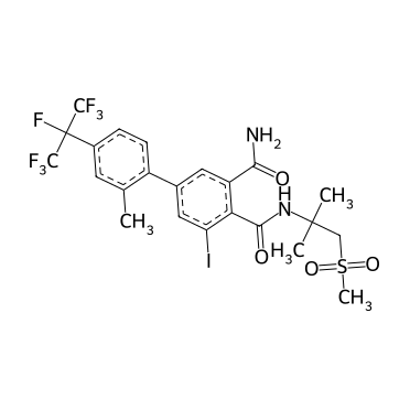 Cc1cc(C(F)(C(F)(F)F)C(F)(F)F)ccc1-c1cc(I)c(C(=O)NC(C)(C)CS(C)(=O)=O)c(C(N)=O)c1